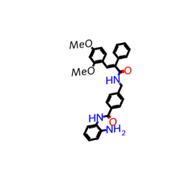 COc1ccc(/C=C(/C(=O)NCc2ccc(C(=O)Nc3ccccc3N)cc2)c2ccccc2)c(OC)c1